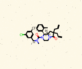 C=CCC1(CC=C)C[C@H]2[C@H](c3ccccc3C)N(C(=O)N(C)[C@H](C)c3cc(Cl)cc(C(F)(F)F)c3)CCN2C1=O